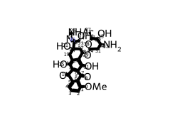 COc1cccc2c1C(=O)c1c(O)c3c(c(O)c1C2=O)C[C@@](O)(/C(CO)=N/NC(C)=O)C[C@@H]3O[C@H]1C[C@H](N)[C@H](O)[C@H](C)O1